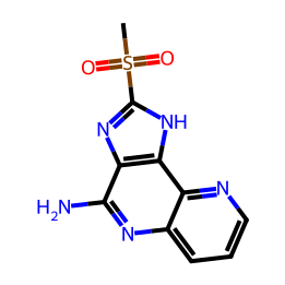 CS(=O)(=O)c1nc2c(N)nc3cccnc3c2[nH]1